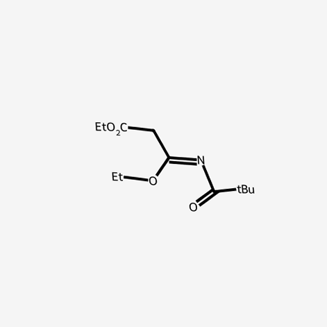 CCOC(=O)C/C(=N/C(=O)C(C)(C)C)OCC